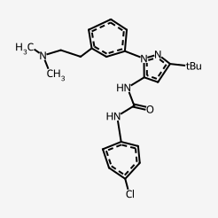 CN(C)CCc1cccc(-n2nc(C(C)(C)C)cc2NC(=O)Nc2ccc(Cl)cc2)c1